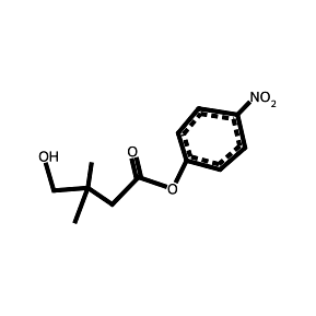 CC(C)(CO)CC(=O)Oc1ccc([N+](=O)[O-])cc1